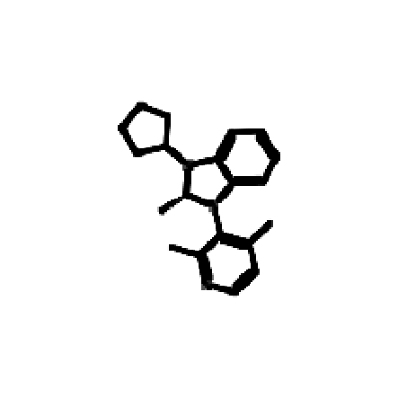 Cc1ccnc(C)c1N1c2ccccc2N(C2CCCC2)[C@H]1C